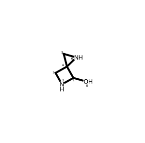 OC1NCC12CN2